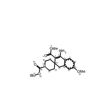 COC(=O)C1=C(N)c2ccc(OC)cc2CC12CCN(C(=O)OC(C)(C)C)CC2